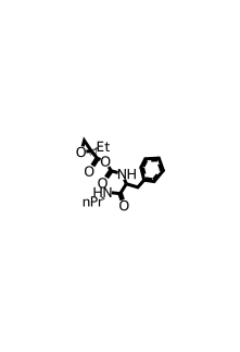 CCCNC(=O)C(Cc1ccccc1)NC(=O)OC(=O)[C@]1(CC)CO1